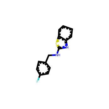 Fc1ccc(CNc2nc3ccccc3s2)cc1